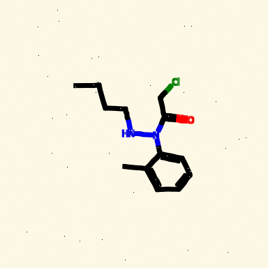 CCCCNN(C(=O)CCl)c1ccccc1C